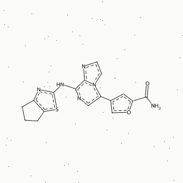 NC(=O)c1cc(-c2cnc(Nc3nc4c(s3)CCC4)c3nccn23)co1